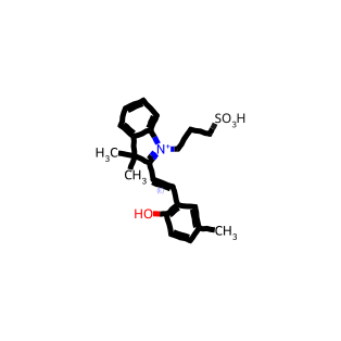 Cc1ccc(O)c(/C=C/C2=[N+](CCCS(=O)(=O)O)c3ccccc3C2(C)C)c1